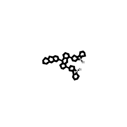 CCn1c2ccccc2c2cc(-c3cccc4c(-c5ccc6cc7ccccc7cc6c5)c5cccc(-c6ccc7c(c6)c6ccccc6n7CC)c5cc34)ccc21